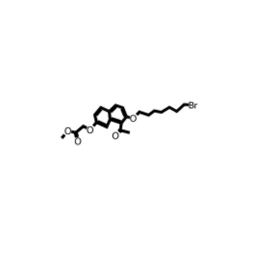 COC(=O)COc1ccc2ccc(OCCCCCCCBr)c(C(C)=O)c2c1